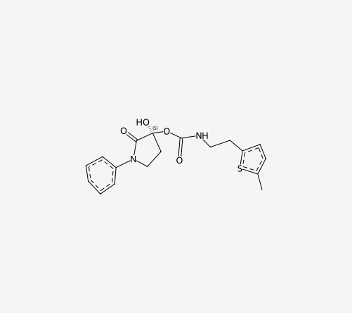 Cc1ccc(CCNC(=O)O[C@@]2(O)CCN(c3ccccc3)C2=O)s1